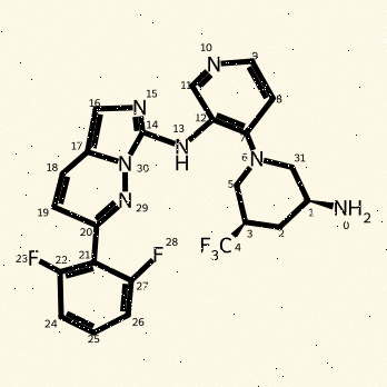 N[C@H]1C[C@@H](C(F)(F)F)CN(c2ccncc2Nc2ncc3ccc(-c4c(F)cccc4F)nn23)C1